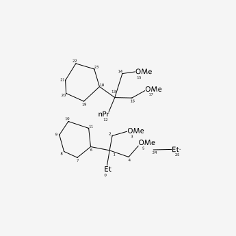 CCC(COC)(COC)C1CCCCC1.CCCC(COC)(COC)C1CCCCC1.C[CH]C